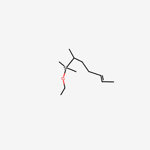 CC=CCCC(C)[Si](C)(C)OCC